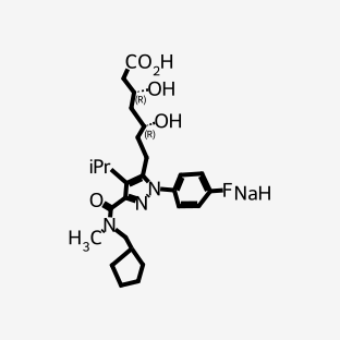 CC(C)c1c(C(=O)N(C)CC2CCCC2)nn(-c2ccc(F)cc2)c1CC[C@@H](O)C[C@@H](O)CC(=O)O.[NaH]